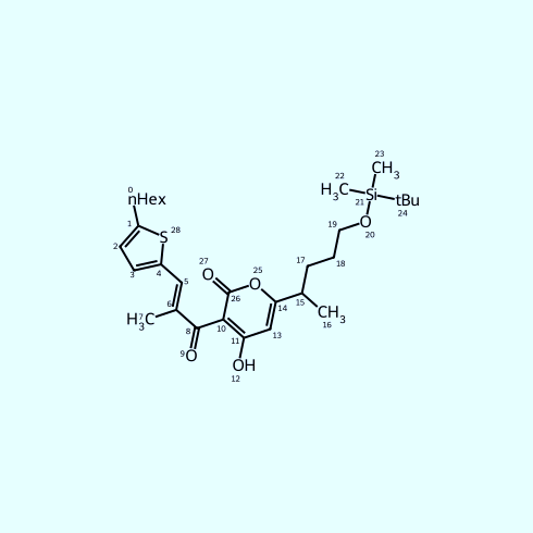 CCCCCCc1ccc(C=C(C)C(=O)c2c(O)cc(C(C)CCCO[Si](C)(C)C(C)(C)C)oc2=O)s1